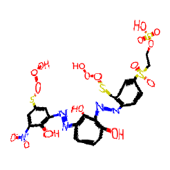 O=[N+]([O-])c1cc(SOOO)cc(/N=N/c2ccc(O)c(/N=N/c3ccc(S(=O)(=O)CCOS(=O)(=O)O)cc3SOOO)c2O)c1O